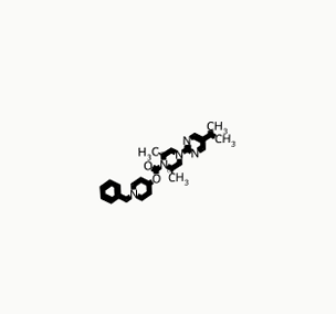 CC(C)c1cnc(N2C[C@@H](C)N(C(=O)OC3CCN(Cc4ccccc4)CC3)[C@@H](C)C2)nc1